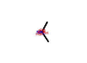 CCCCCCCCCCCCC(CCCCCCCCCCCC)(C(=O)O)C(C(=O)O)S(=O)(=O)O.N.N